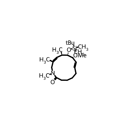 CO[C@H]1/C=C/CCCCC(=O)N(C)C/C(C)=C\[C@@H](C)[C@@H]1O[Si](C)(C)C(C)(C)C